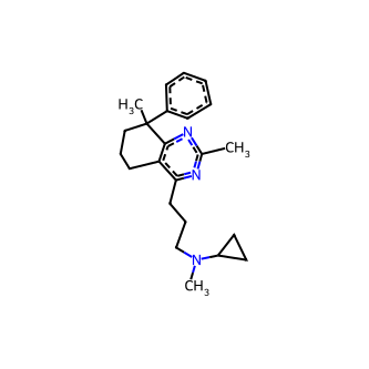 Cc1nc(CCCN(C)C2CC2)c2c(n1)C(C)(c1ccccc1)CCC2